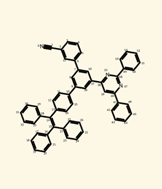 N#Cc1cccc(-c2cc(-c3ccc(C(=C(c4ccccc4)c4ccccc4)c4ccccc4)cc3)cc(-c3cc(-c4ccccc4)nc(-c4ccccc4)n3)c2)c1